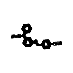 CNC(c1ccccc1)c1cccc(OCc2ccc(C=O)cc2)c1